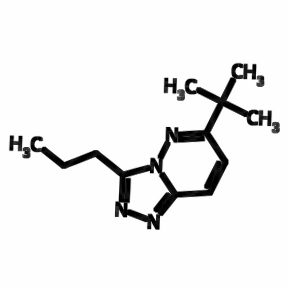 CCCc1nnc2ccc(C(C)(C)C)nn12